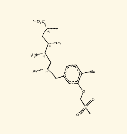 CC(C)[C@@H](Cc1ccc(C(C)(C)C)c(OCS(C)(=O)=O)c1)C[C@H](N)[C@@H](O)C[C@@H](C)C(=O)O